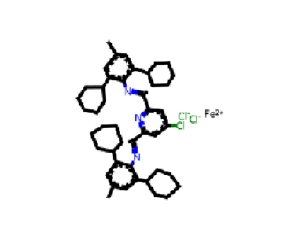 CC(=Nc1c(C2CCCCC2)cc(C)cc1C1CCCCC1)c1cc(Cl)cc(C(C)=Nc2c(C3CCCCC3)cc(C)cc2C2CCCCC2)n1.[Cl-].[Cl-].[Fe+2]